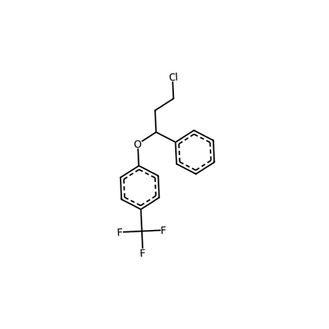 FC(F)(F)c1ccc(OC(CCCl)c2ccccc2)cc1